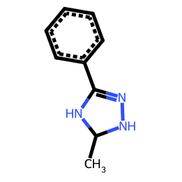 CC1NN=C(c2ccccc2)N1